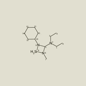 CCN(CC)C1N(C)[SiH2]N1C1CCCCC1